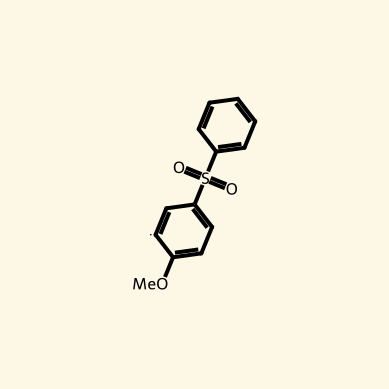 COc1[c]cc(S(=O)(=O)c2ccccc2)cc1